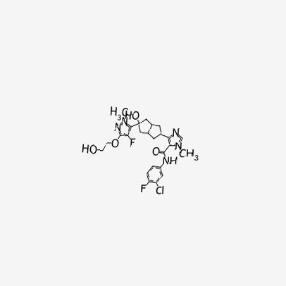 Cn1cnc(C2CC3CC(O)(c4c(F)c(OCCO)nn4C)CC3C2)c1C(=O)Nc1ccc(F)c(Cl)c1